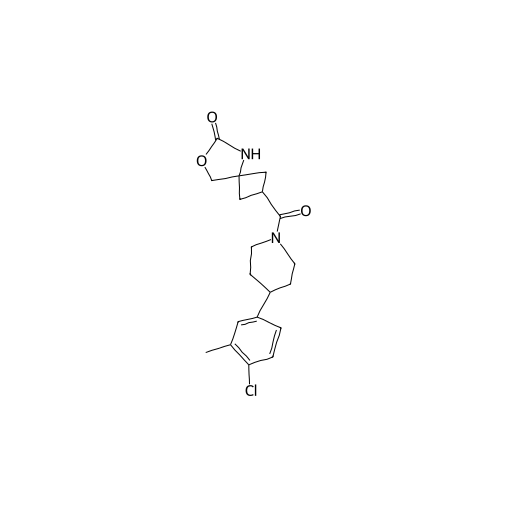 Cc1cc(C2CCN(C(=O)C3CC4(COC(=O)N4)C3)CC2)ccc1Cl